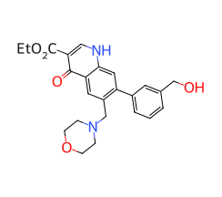 CCOC(=O)c1c[nH]c2cc(-c3cccc(CO)c3)c(CN3CCOCC3)cc2c1=O